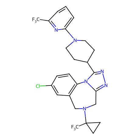 FC(F)(F)c1cccc(N2CCC(c3nnc4n3-c3ccc(Cl)cc3CN(C3(C(F)(F)F)CC3)C4)CC2)n1